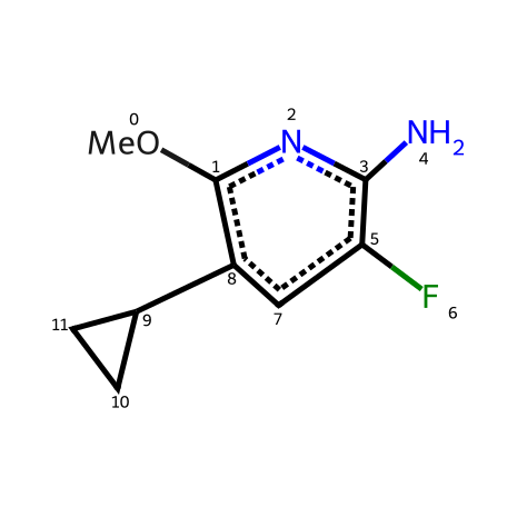 COc1nc(N)c(F)cc1C1CC1